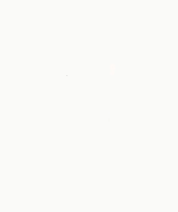 CC(=O)c1cc(-c2ccccc2F)c(F)c(C(C)(C)C)c1